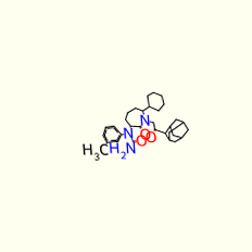 Cc1cccc(N(C(N)=O)C2CCCC(C3CCCCC3)N(CC(=O)C3C4CC5CC(C4)CC3C5)C2=O)c1